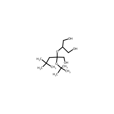 CC(C)(C)CC(CO)(OC(CO)CO)OC(C)(C)C